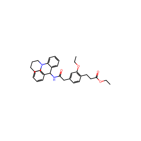 CCOC(=O)CCc1ccc(CC(=O)NC(c2ccccc2)c2ccccc2N2CCCCC2)cc1OCC